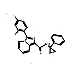 O=C(NC1(c2ccccc2)CC1)c1nc(-c2ccc(F)cc2F)n2ccccc12